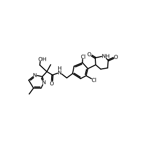 Cc1cnc(C(C)(CO)C(=O)NCc2cc(Cl)c(C3CCC(=O)NC3=O)c(Cl)c2)nc1